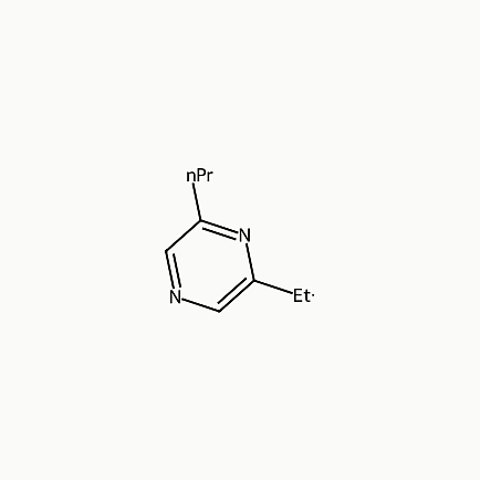 C[CH]c1cncc(CCC)n1